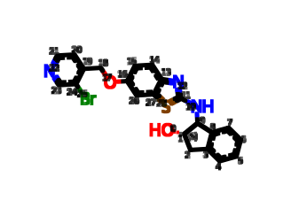 O[C@H]1Cc2ccccc2C1Nc1nc2ccc(OCc3ccncc3Br)cc2s1